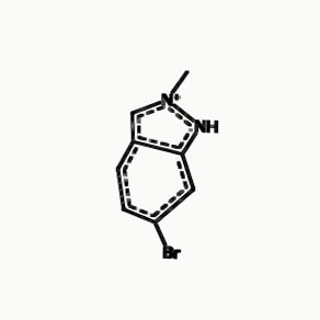 C[n+]1cc2ccc(Br)cc2[nH]1